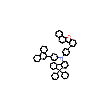 c1ccc(C2(c3ccccc3)c3ccccc3-c3c(N(c4ccc(-c5cc6ccccc6c6ccccc56)cc4)c4ccc(-c5cccc6oc7c8ccccc8ccc7c56)cc4)cccc32)cc1